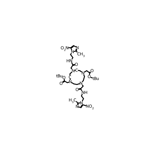 Cc1ncc([N+](=O)[O-])n1CCNC(=O)CN1CCN(CC(=O)OC(C)(C)C)CCN(CC(=O)NCCn2c([N+](=O)[O-])cnc2C)CCN(CC(=O)OC(C)(C)C)CC1